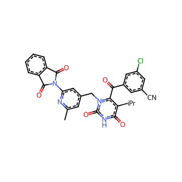 Cc1cc(Cn2c(C(=O)c3cc(Cl)cc(C#N)c3)c(C(C)C)c(=O)[nH]c2=O)cc(N2C(=O)c3ccccc3C2=O)n1